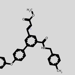 COC(=O)/C=C/c1cc(C(=O)NCc2ccc(C)cc2)cc(-c2ccc(Oc3ccccc3)cc2)c1